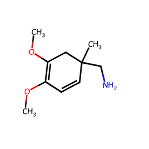 COC1=C(OC)CC(C)(CN)C=C1